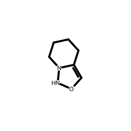 C1=C2CCCCN2NO1